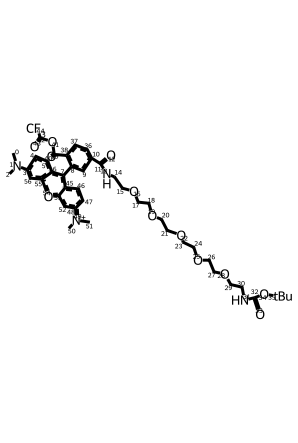 CN(C)c1ccc2c(-c3cc(C(=O)NCCOCCOCCOCCOCCOCCNC(=O)OC(C)(C)C)ccc3C(=O)OC(=O)C(F)(F)F)c3ccc(=[N+](C)C)cc-3oc2c1